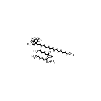 CCCCCC(=O)O.CCCCCC(=O)O.CCCCCCCCCCCCCCCCC(CC)(CC)C(=O)O.[AlH3]